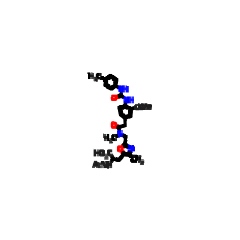 COc1cc(CC(=O)N(C)Cc2nc(C)c(CC(NC(C)=O)C(=O)O)o2)ccc1NC(=O)Nc1ccc(C)cc1